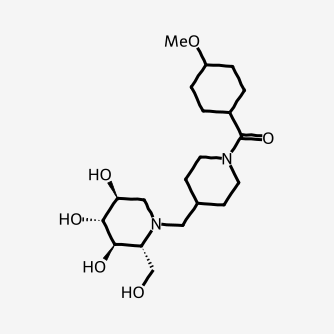 COC1CCC(C(=O)N2CCC(CN3C[C@H](O)[C@@H](O)[C@H](O)[C@H]3CO)CC2)CC1